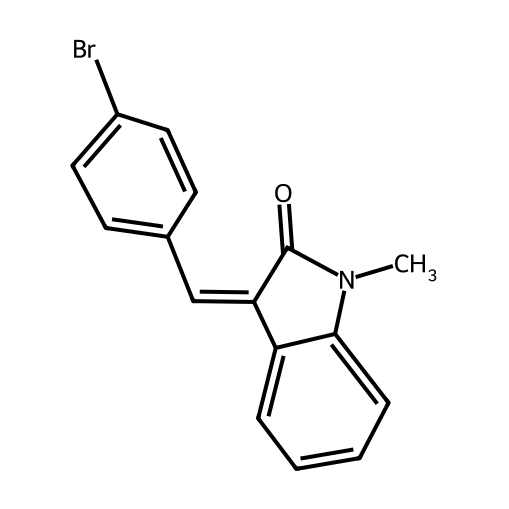 CN1C(=O)C(=Cc2ccc(Br)cc2)c2ccccc21